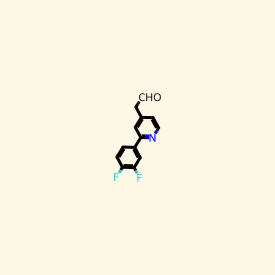 O=CCc1ccnc(-c2ccc(F)c(F)c2)c1